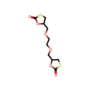 O=C1OC(COCCOCC2CSC(=O)O2)CS1